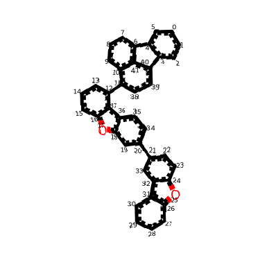 c1ccc2c(c1)-c1cccc3c(-c4cccc5oc6cc(-c7ccc8oc9ccccc9c8c7)ccc6c45)ccc-2c13